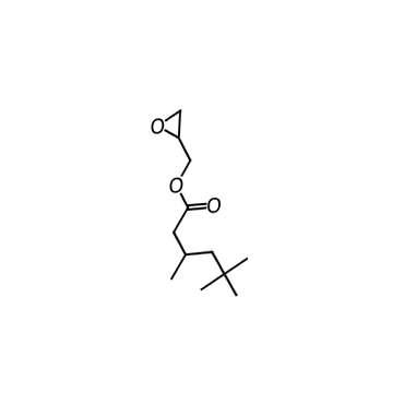 CC(CC(=O)OCC1CO1)CC(C)(C)C